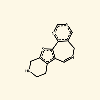 C1=NCc2cncnc2-c2sc3c(c21)CCNC3